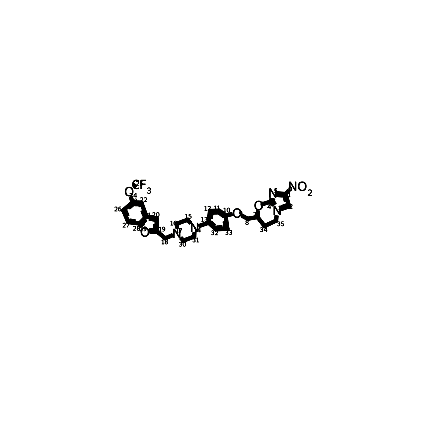 O=[N+]([O-])c1cn2c(n1)OC(COc1ccc(N3CCN(Cc4cc5cc(OC(F)(F)F)ccc5o4)CC3)cc1)CC2